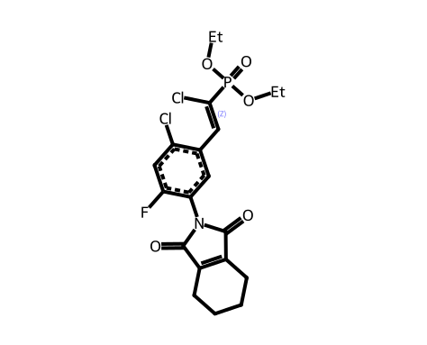 CCOP(=O)(OCC)/C(Cl)=C/c1cc(N2C(=O)C3=C(CCCC3)C2=O)c(F)cc1Cl